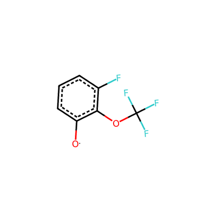 [O]c1cccc(F)c1OC(F)(F)F